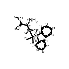 COC(=O)[C@@H](N)[C@H](C)O[Si](c1ccccc1)(c1ccccc1)C(C)(C)C